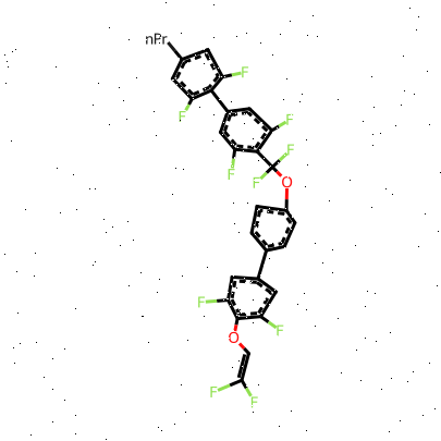 CCCc1cc(F)c(-c2cc(F)c(C(F)(F)Oc3ccc(-c4cc(F)c(OC=C(F)F)c(F)c4)cc3)c(F)c2)c(F)c1